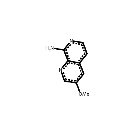 COc1cnc2c(N)nccc2c1